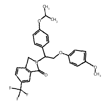 COc1ccc(OCC(c2ccc(OC(C)C)cc2)N2Cc3ccc(C(F)(F)F)cc3C2=O)cc1